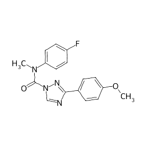 COc1ccc(-c2ncn(C(=O)N(C)c3ccc(F)cc3)n2)cc1